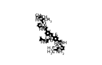 COC(=O)N[C@H](C(=O)N1CCC[C@H]1c1ncc(-c2ccc3c(c2)cc2n3[C@H](C3=CNC(C4CC4)S3)Oc3cc(C4=CNC([C@@H]5CCCN5C(=O)[C@@H](N)C(C)C)N4)cc(F)c3-2)[nH]1)C(C)C